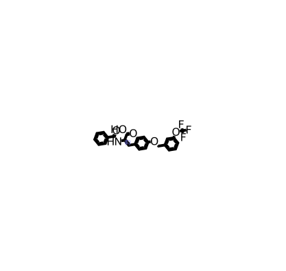 O=C(O)/C(=C\c1ccc(OCc2cccc(OC(F)(F)F)c2)cc1)NC(=O)c1ccccc1